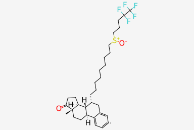 C[C@]12CC[C@@H]3c4cc[c]cc4C[C@@H](CCCCCCCCC[S+]([O-])CCCC(F)(F)C(F)(F)F)[C@H]3[C@@H]1CCC2=O